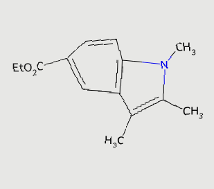 CCOC(=O)c1ccc2c(c1)c(C)c(C)n2C